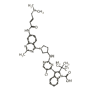 Cc1nc(N2CCC(Nc3ncc(Cl)c(-c4c(C(C)(C)C)n(C(=O)O)c5ccccc45)n3)C2)c2ccc(NC(=O)C=CCN(C)C)cc2n1